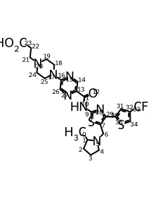 CC1CCCN1Cc1sc(NC(=O)c2cnc(N3CCN(CCC(=O)O)CC3)cn2)nc1-c1cc(C(F)(F)F)cs1